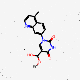 CCOC(O)c1cn(-c2ccc3c(C)ccnc3c2)c(=O)[nH]c1=O